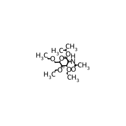 CCOCC1O[C@H](OC(C)C)[C@@H](NC(C)=O)C(OCC)[C@H]1OCC